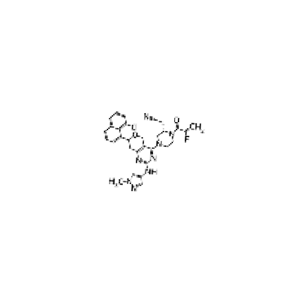 C=C(F)C(=O)N1CCN(c2nc(Nc3cnn(C)c3)nc3c2COC(c2cccc4cccc(Cl)c24)C3)C[C@@H]1CC#N